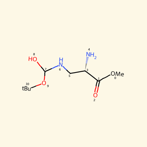 COC(=O)[C@@H](N)CNC(O)OC(C)(C)C